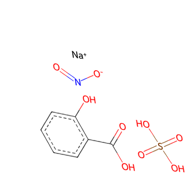 O=C(O)c1ccccc1O.O=N[O-].O=S(=O)(O)O.[Na+]